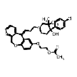 CC(=O)OCCOc1ccc2c(c1)C(=CCCN1CCC(O)(c3ccc(Cl)cc3)C(C)(C)C1)c1cccnc1CO2